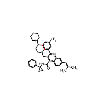 CC(C)=Cc1ccc2c(C(=O)NC3(c4ccccc4)CC3)c(CN3CCC(N4CCCCC4)CC3)c(-c3cccc(C(F)(F)F)c3)nc2c1